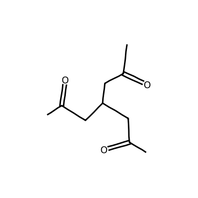 CC(=O)CC(CC(C)=O)CC(C)=O